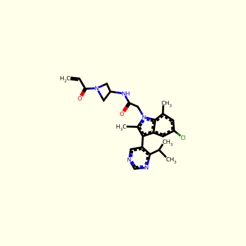 C=CC(=O)N1CC(NC(=O)Cn2c(C)c(-c3cncnc3C(C)C)c3cc(Cl)cc(C)c32)C1